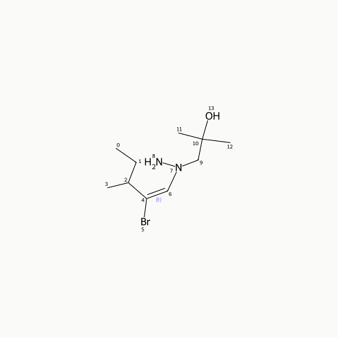 CCC(C)/C(Br)=C\N(N)CC(C)(C)O